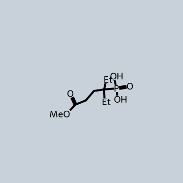 CCC(CC)(CCC(=O)OC)P(=O)(O)O